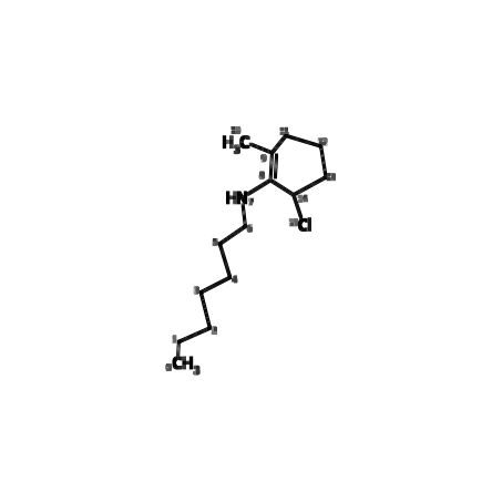 CCCCCCCNC1=C(C)CCCC1Cl